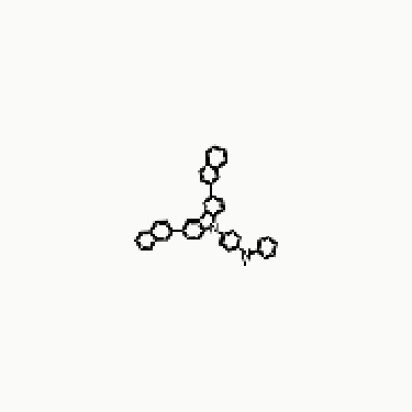 CN(c1ccccc1)c1ccc(-n2c3ccc(-c4ccc5ccccc5c4)cc3c3cc(-c4ccc5ccccc5c4)ccc32)cc1